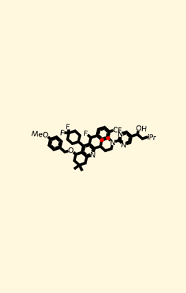 COc1ccc(COC2CC(C)(C)Cc3nc(C4CCN(c5ncc(C(O)CC(C)C)cn5)CC4)c(C(F)c4ccc(C(F)(F)F)cc4)c(C4CCC(F)(F)CC4)c32)cc1